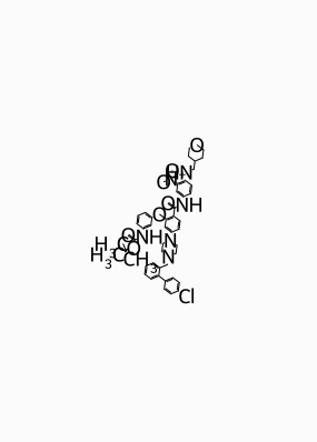 CC(C)(C)OC(=O)Nc1cccc(Oc2cc(N3CCN(Cc4ccccc4-c4ccc(Cl)cc4)CC3)ccc2C(=O)Nc2ccc(NCC3CCOCC3)c([N+](=O)[O-])c2)c1